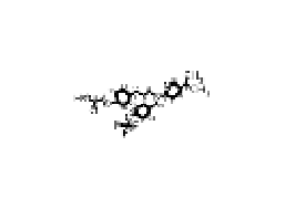 CC(C)c1ccc(N(CCCc2ccc(OCC(=O)O)cc2)Cc2ccc(OC(F)(F)F)cc2)nc1